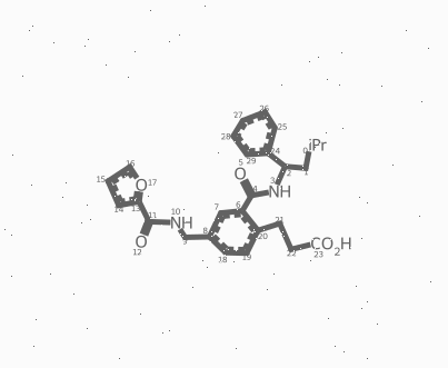 CC(C)CC(NC(=O)c1cc(CNC(=O)c2ccco2)ccc1CCC(=O)O)c1ccccc1